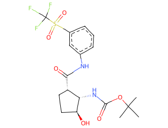 CC(C)(C)OC(=O)N[C@H]1[C@@H](C(=O)Nc2cccc(S(=O)(=O)C(F)(F)F)c2)CC[C@@H]1O